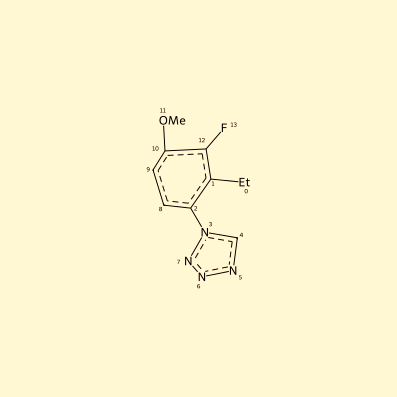 CCc1c(-n2cnnn2)ccc(OC)c1F